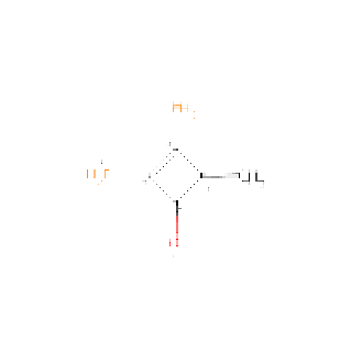 C=C1C(=O)C(P)=C1P